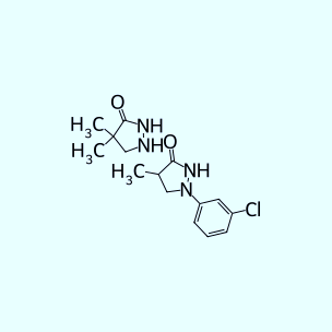 CC1(C)CNNC1=O.CC1CN(c2cccc(Cl)c2)NC1=O